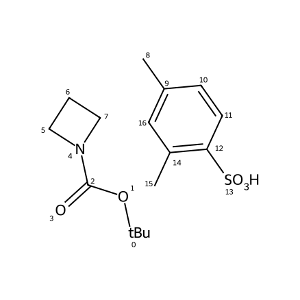 CC(C)(C)OC(=O)N1CCC1.Cc1ccc(S(=O)(=O)O)c(C)c1